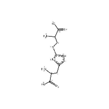 NC(CSc1nc(CC(N)C(=O)O)c[nH]1)C(=O)O